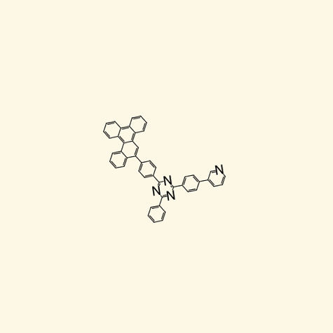 c1ccc(-c2nc(-c3ccc(-c4cccnc4)cc3)nc(-c3ccc(-c4cc5c6ccccc6c6ccccc6c5c5ccccc45)cc3)n2)cc1